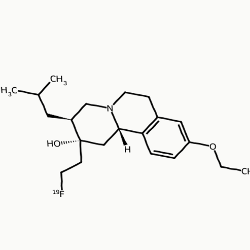 CCOc1ccc2c(c1)CCN1C[C@H](CC(C)C)[C@](O)(CC[19F])C[C@@H]21